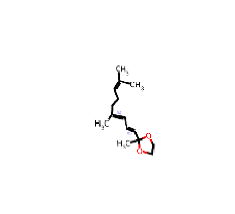 CC(C)=CCC/C(C)=C/C=C/C1(C)OCCO1